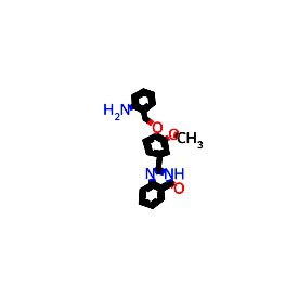 COc1cc(-c2nc3ccccc3c(=O)[nH]2)ccc1OCc1ccccc1N